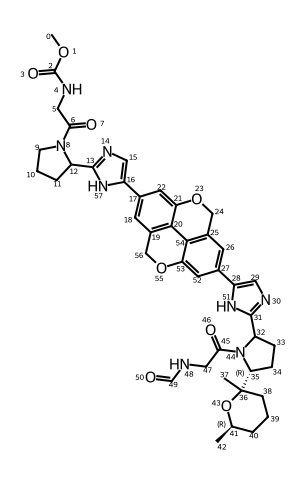 COC(=O)NCC(=O)N1CCCC1c1ncc(-c2cc3c4c(c2)OCc2cc(-c5cnc(C6CC[C@H](C7(C)CCC[C@@H](C)O7)N6C(=O)CNC=O)[nH]5)cc(c2-4)OC3)[nH]1